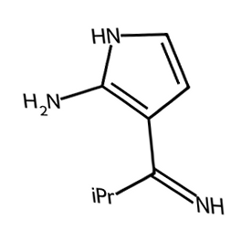 CC(C)C(=N)c1cc[nH]c1N